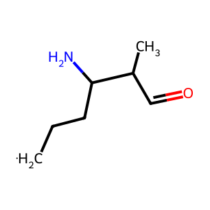 [CH2]CCC(N)C(C)C=O